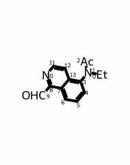 CCN(C(C)=O)c1cccc2c(C=O)nccc12